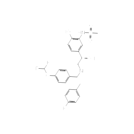 CS(=O)(=O)Nc1cc([C@@H](O)CN[C@H](Cc2ccc(F)cc2)c2ccc(OC(F)F)cc2)ccc1O